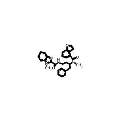 CN(C(=O)c1cccc2occc12)C(CCNC(=O)c1nc2ccccc2n1C)Cc1ccccc1